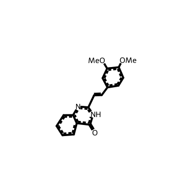 COc1ccc(/C=C/c2nc3ccccc3c(=O)[nH]2)cc1OC